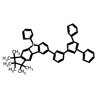 CC1(C)c2cc3c4cc(-c5cccc(-c6cc(-c7ccccc7)cc(-c7ccccc7)c6)c5)ccc4n(-c4ccccc4)c3cc2C(C)(C)C1(C)C